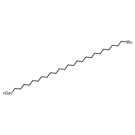 [CH2]CCCCCCCCCCCCCCCCCCCCCCCCCCCCCCCCCCC(C)CC